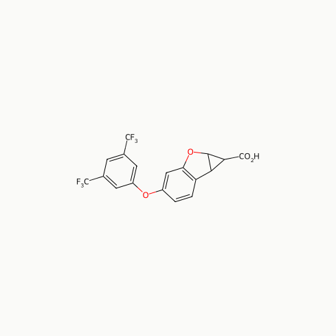 O=C(O)C1C2Oc3cc(Oc4cc(C(F)(F)F)cc(C(F)(F)F)c4)ccc3C21